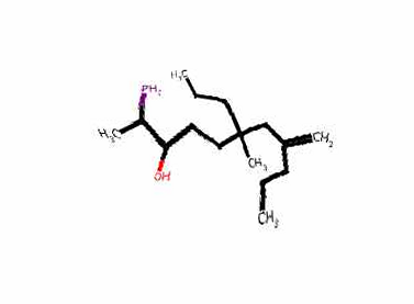 C=C(CCC)CC(C)(CCC)CCC(O)C(C)P